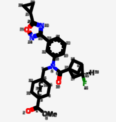 COC(=O)C12CCC(CN(C(=O)C34CC(C3)[C@@H](F)C4)c3cccc(-c4noc(C5CC5)n4)c3)(CC1)CC2